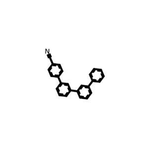 N#Cc1ccc(-c2cccc(-c3cccc(-c4ccccc4)c3)c2)cc1